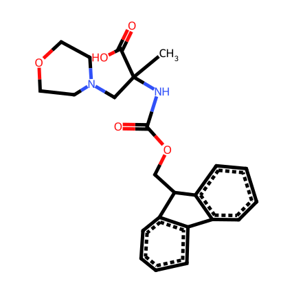 CC(CN1CCOCC1)(NC(=O)OCC1c2ccccc2-c2ccccc21)C(=O)O